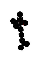 c1ccc(-c2nc(-c3ccccc3)nc(-n3c4ccccc4c4ccc5c6cc(-c7ccc(-c8ccc9c(c8)c8ccccc8n9-c8ccccc8)cc7)ccc6n(-c6ccccc6)c5c43)n2)cc1